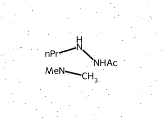 CCCNNC(C)=O.CNC